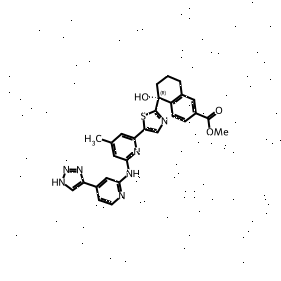 COC(=O)c1ccc2c(c1)CCC[C@]2(O)c1ncc(-c2cc(C)cc(Nc3cc(-c4c[nH]nn4)ccn3)n2)s1